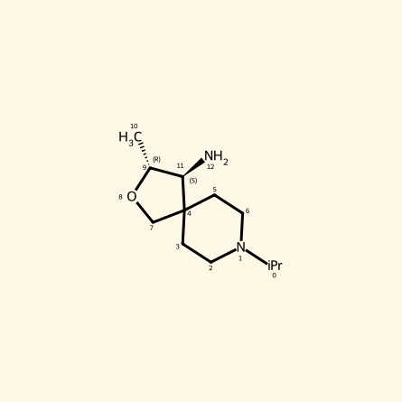 CC(C)N1CCC2(CC1)CO[C@H](C)[C@H]2N